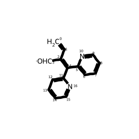 C=CC([C]=O)=C(c1ccccn1)c1ccccn1